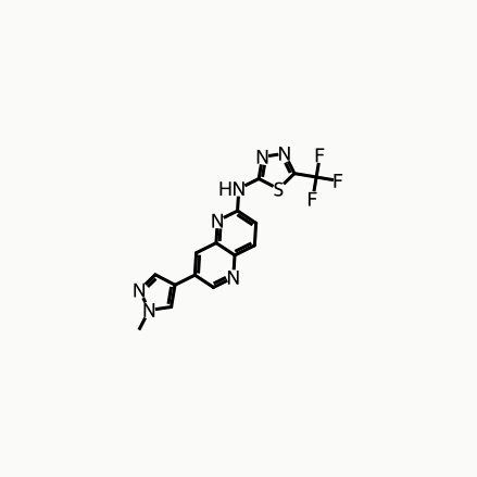 Cn1cc(-c2cnc3ccc(Nc4nnc(C(F)(F)F)s4)nc3c2)cn1